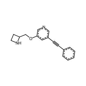 C(#Cc1cncc(OCC2CCN2)c1)c1ccccc1